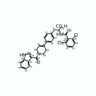 O=C(N[C@@H](Cc1ccc(C2=CCN(C(=O)c3n[nH]c4ccccc34)CC2)cc1)C(=O)O)c1c(Cl)cccc1Cl